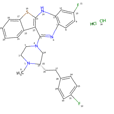 CN1CCN(C2=Nc3ccc(F)cc3Nc3sc4ccccc4c32)C[C@@H]1CCc1ccc(F)cc1.Cl.Cl